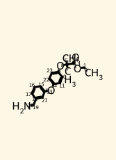 CCOC(=O)C(C)(C)Oc1ccc(Oc2cccc(CN)c2)cc1